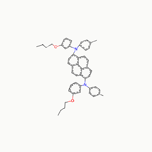 CCCCOc1cccc(N(c2ccc(C)cc2)c2ccc3ccc4c(N(c5ccc(C)cc5)c5cccc(OCCCC)c5)ccc5ccc2c3c54)c1